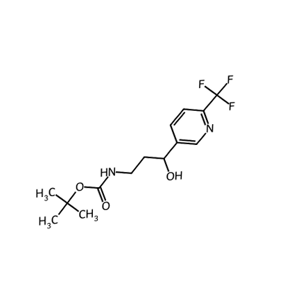 CC(C)(C)OC(=O)NCCC(O)c1ccc(C(F)(F)F)nc1